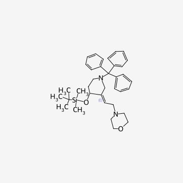 CC(C)(C)[Si](C)(C)OC1CCN(C(c2ccccc2)(c2ccccc2)c2ccccc2)C/C1=C\CN1CCOCC1